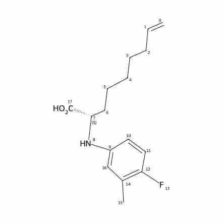 C=CCCCCC[C@H](Nc1ccc(F)c(C)c1)C(=O)O